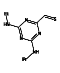 CCNc1nc(C=S)nc(NC(C)C)n1